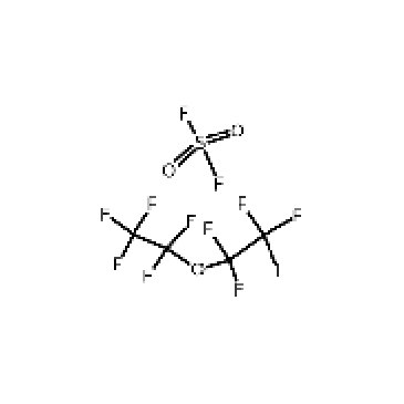 FC(F)(F)C(F)(F)OC(F)(F)C(F)(F)I.O=S(=O)(F)F